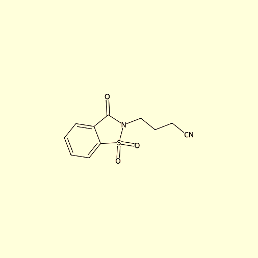 N#CCCCN1C(=O)c2ccccc2S1(=O)=O